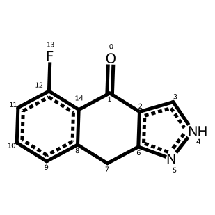 O=C1c2c[nH]nc2Cc2cccc(F)c21